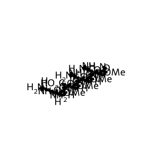 COc1ccc(NC(=O)[C@H](CCCNC(=N)N)NC(=O)c2cc(NC(=O)[C@H](CCCNC(=N)N)NC(=O)c3cc(NC(=O)[C@H](CCC(=O)O)NC(=O)c4cc(NC(=O)[C@@H](N)CCCCNC(=N)N)ccc4OC)ccc3OC)ccc2OC)cc1C(N)=O